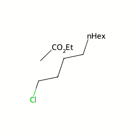 CCCCCCCCCCCl.CCOC(C)=O